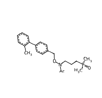 CC(=O)N(CCCP(C)(C)=O)OCc1ccc(-c2ccccc2C)cc1